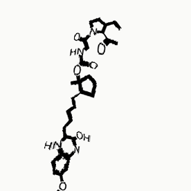 CCC1CCN(C(=O)CNC(=O)OC2(C)CCC[C@H]2CCCCCC2Nc3ccc(OC)cc3N=C2O)[C@@H]1C(C)=O